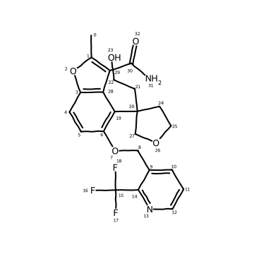 Cc1oc2ccc(OCc3cccnc3C(F)(F)F)c(C3(CCO)CCOC3)c2c1C(N)=O